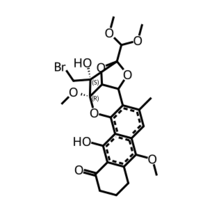 COc1c2c(c(O)c3c4c(c(C)cc13)C1OC3(C(OC)OC)OC1[C@@](OC)(O4)[C@@]3(O)CBr)C(=O)CCC2